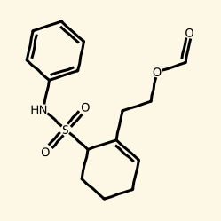 O=COCCC1=CCCCC1S(=O)(=O)Nc1ccccc1